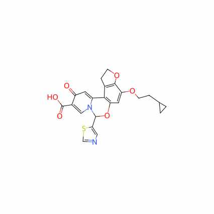 O=C(O)c1cn2c(cc1=O)-c1c(cc(OCCC3CC3)c3c1CCO3)OC2c1cncs1